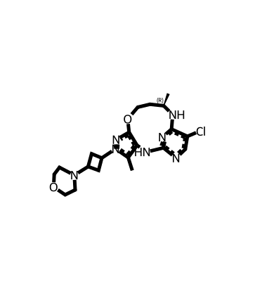 Cc1c2c(nn1C1CC(N3CCOCC3)C1)OCC[C@@H](C)Nc1nc(ncc1Cl)N2